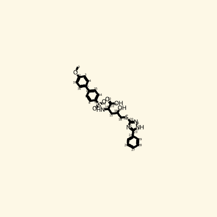 COc1ccc(-c2ccc(S(=O)(=O)NC(CC(O)CSc3n[nH]c(-c4ccccc4)n3)C(=O)O)cc2)cc1